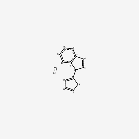 C1=CCC(C2C=Cc3ccccc32)=C1.[Ti]